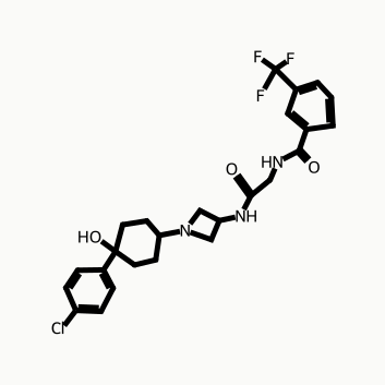 O=C(CNC(=O)c1cccc(C(F)(F)F)c1)NC1CN(C2CCC(O)(c3ccc(Cl)cc3)CC2)C1